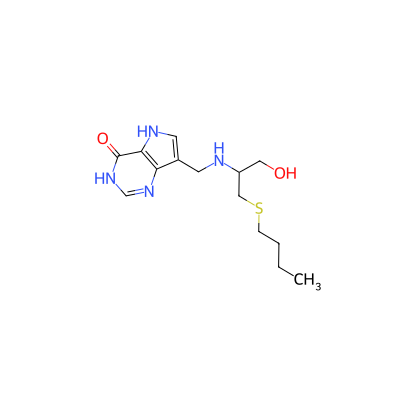 CCCCSCC(CO)NCc1c[nH]c2c(=O)[nH]cnc12